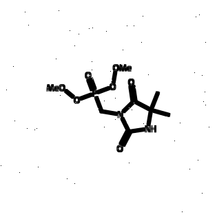 COOP(=O)(CN1C(=O)NC(C)(C)C1=O)OOC